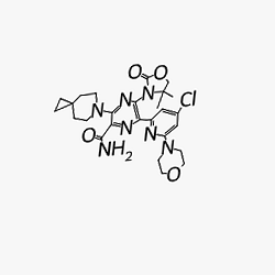 CC1(C)COC(=O)N1c1nc(N2CCC3(CC2)CC3)c(C(N)=O)nc1-c1cc(Cl)cc(N2CCOCC2)n1